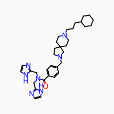 O=C(c1ccc(CN2CCC3(CCN(CCCC4CCCCC4)CC3)C2)cc1)N(Cc1ncc[nH]1)Cc1ncc[nH]1